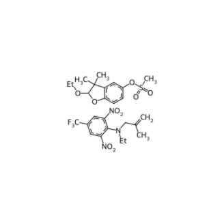 C=C(C)CN(CC)c1c([N+](=O)[O-])cc(C(F)(F)F)cc1[N+](=O)[O-].CCOC1Oc2ccc(OS(C)(=O)=O)cc2C1(C)C